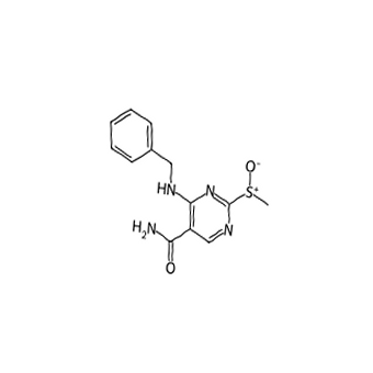 C[S+]([O-])c1ncc(C(N)=O)c(NCc2ccccc2)n1